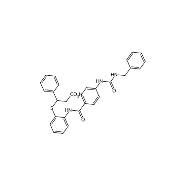 O=C(O)CC(Sc1ccccc1NC(=O)c1ccc(NC(=O)NCc2ccccc2)cc1)c1ccccc1